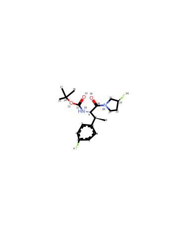 C[C@@H](c1ccc(F)cc1)[C@H](NC(=O)OC(C)(C)C)C(=O)N1CC[C@H](F)C1